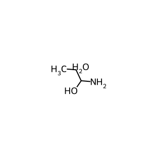 CCC(N)O.O